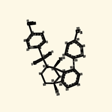 COc1ccc(S(=O)(=O)N2CC[C@@H]3C[C@H]2c2c(-c4ccc(C(F)(F)F)cc4)cccc23)cc1